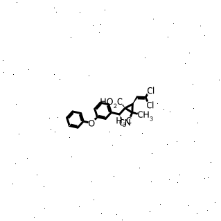 CC1(C)[C@H](C=C(Cl)Cl)[C@]1(C(=O)O)[C@H](C#N)c1cccc(Oc2ccccc2)c1